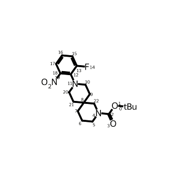 CC(C)(C)OC(=O)N1CCCC2(CCN(c3c(F)cccc3[N+](=O)[O-])CC2)C1